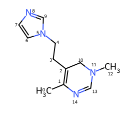 CC1=C(CCn2ccnc2)CN(C)C=N1